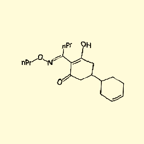 CCCON=C(CCC)C1=C(O)CC(C2CC=CCC2)CC1=O